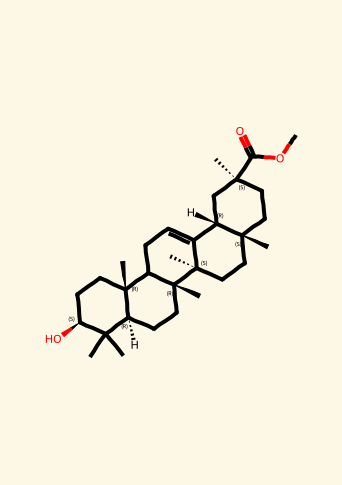 COC(=O)[C@@]1(C)CC[C@]2(C)CC[C@]3(C)C(=CCC4[C@@]5(C)CC[C@H](O)C(C)(C)[C@@H]5CC[C@]43C)[C@@H]2C1